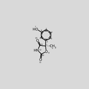 C[C@]1(c2cccc(O)c2)OC(=O)NC1=O